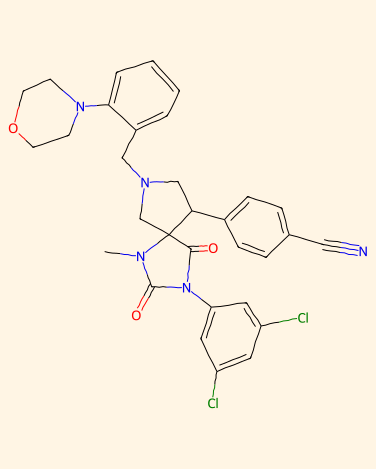 CN1C(=O)N(c2cc(Cl)cc(Cl)c2)C(=O)C12CN(Cc1ccccc1N1CCOCC1)CC2c1ccc(C#N)cc1